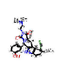 CCN(CC)CCN1C(=O)N2[C@H](c3cccc(O)c3)c3[nH]c4ccc(OC)c(F)c4c3C[C@@]2(C)C1=O